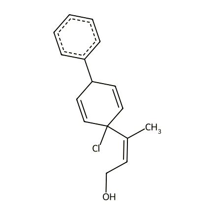 C/C(=C/CO)C1(Cl)C=CC(c2ccccc2)C=C1